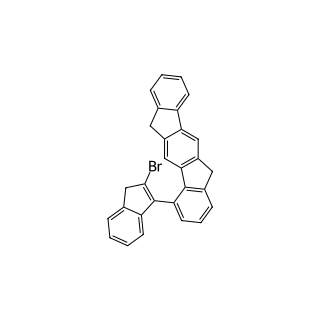 BrC1=C(c2cccc3c2-c2cc4c(cc2C3)-c2ccccc2C4)c2ccccc2C1